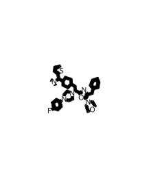 CN(C)C(c1cccs1)C1CCC(CC(c2nc(Cc3ccccc3)c(N3CCOCC3)o2)N2CCN(c3ccc(F)cc3)CC2)CC1